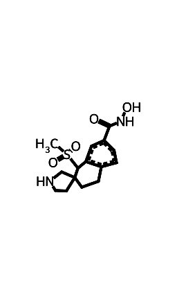 CS(=O)(=O)C1c2cc(C(=O)NO)ccc2CCC12CCNC2